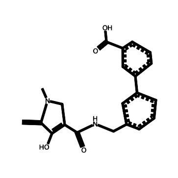 C=C1C(O)=C(C(=O)NCc2cccc(-c3cccc(C(=O)O)c3)c2)CN1C